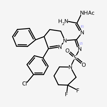 CC(=O)N/C(N)=N/C(=N/S(=O)(=O)N1CCCC(F)(F)C1)N1CCC(c2ccccc2)C(c2ccc(Cl)cc2)=N1